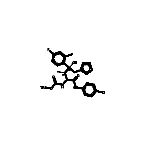 C[C@@H](N(NC(=O)OC(C)(C)C)C(=O)Nc1ccc(Cl)cc1)[C@](O)(Cn1cncn1)c1ccc(F)cc1F